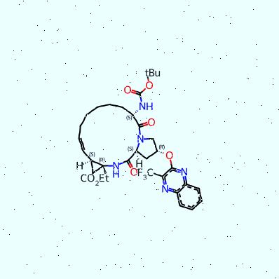 CCOC(=O)[C@@]12C[C@H]1C=CCCCCC[C@H](NC(=O)OC(C)(C)C)C(=O)N1C[C@H](Oc3nc4ccccc4nc3C(F)(F)F)C[C@H]1C(=O)N2